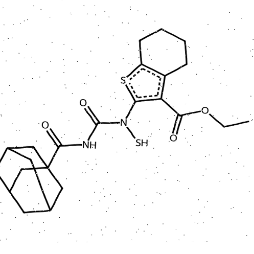 CCOC(=O)c1c(N(S)C(=O)NC(=O)C23CC4CC(CC(C4)C2)C3)sc2c1CCCC2